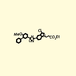 CCOC(=O)CCn1cc(Cl)c2cc(-c3noc(-c4ccc(OC)c(-c5ccccc5)c4)n3)ccc21